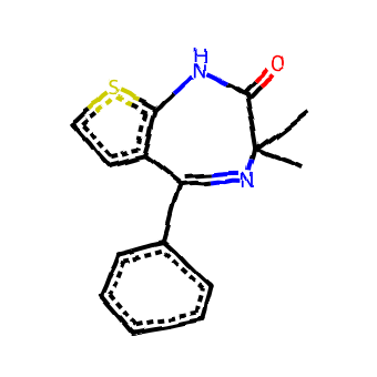 CC1(C)N=C(c2ccccc2)c2ccsc2NC1=O